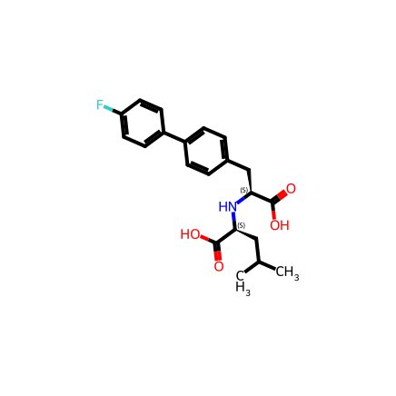 CC(C)C[C@H](N[C@@H](Cc1ccc(-c2ccc(F)cc2)cc1)C(=O)O)C(=O)O